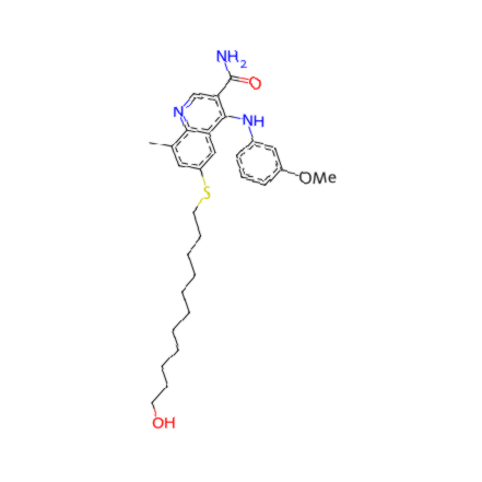 COc1cccc(Nc2c(C(N)=O)cnc3c(C)cc(SCCCCCCCCCCCO)cc23)c1